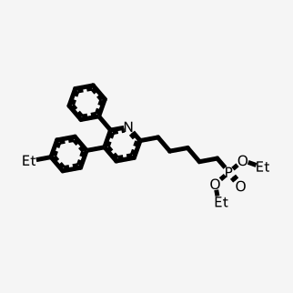 CCOP(=O)(CCCCCc1ccc(-c2ccc(CC)cc2)c(-c2ccccc2)n1)OCC